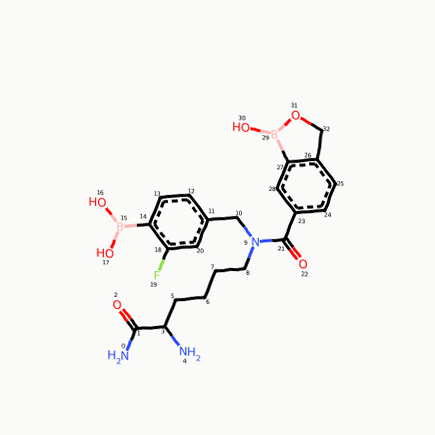 NC(=O)C(N)CCCCN(Cc1ccc(B(O)O)c(F)c1)C(=O)c1ccc2c(c1)B(O)OC2